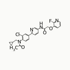 CC(=O)N(CC1CC1)c1ccc(-c2ccc(NC(=O)COc3cccnc3F)cn2)cc1Cl